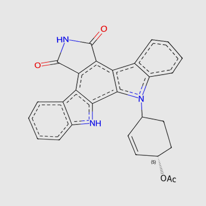 CC(=O)O[C@@H]1C=CC(n2c3ccccc3c3c4c(c5c6ccccc6[nH]c5c32)C(=O)NC4=O)CC1